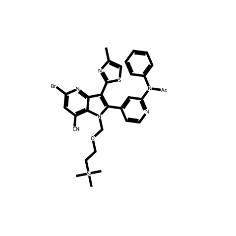 CC(=O)N(c1ccccc1)c1cc(-c2c(-c3nc(C)cs3)c3nc(Br)cc(C#N)c3n2COCC[Si](C)(C)C)ccn1